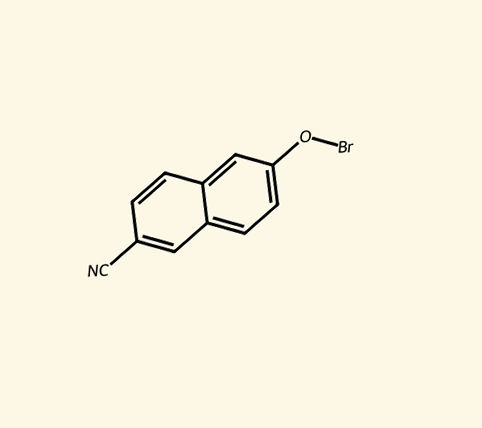 N#Cc1ccc2cc(OBr)ccc2c1